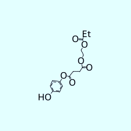 CCC(=O)OCCOC(=O)CCC(=O)Oc1ccc(O)cc1